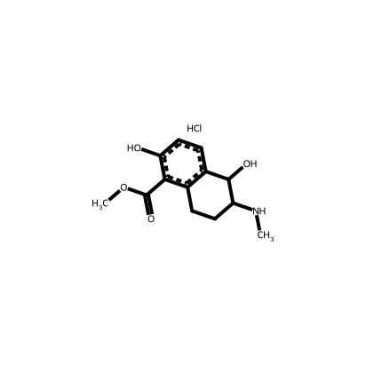 CNC1CCc2c(ccc(O)c2C(=O)OC)C1O.Cl